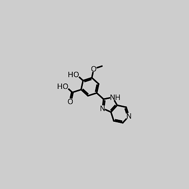 COc1cc(-c2nc3ccncc3[nH]2)cc(C(=O)O)c1O